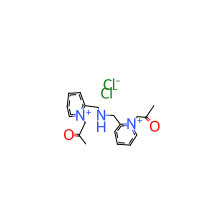 CC(=O)C[n+]1ccccc1CNCc1cccc[n+]1CC(C)=O.[Cl-].[Cl-]